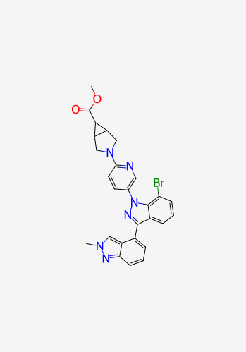 COC(=O)C1C2CN(c3ccc(-n4nc(-c5cccc6nn(C)cc56)c5cccc(Br)c54)cn3)CC21